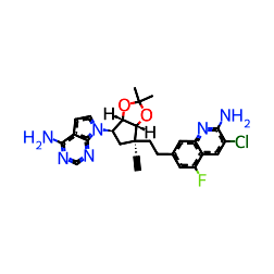 C#C[C@]1(CCc2cc(F)c3cc(Cl)c(N)nc3c2)C[C@@H](n2ccc3c(N)ncnc32)[C@@H]2OC(C)(C)O[C@@H]21